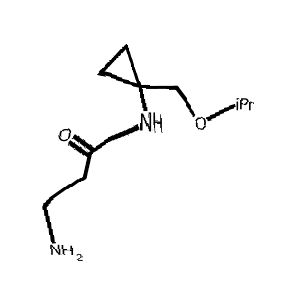 CC(C)OCC1(NC(=O)CCN)CC1